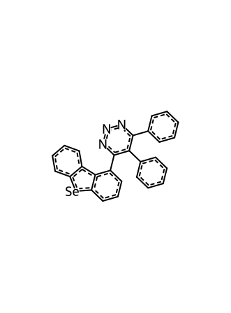 c1ccc(-c2nnnc(-c3cccc4[se]c5ccccc5c34)c2-c2ccccc2)cc1